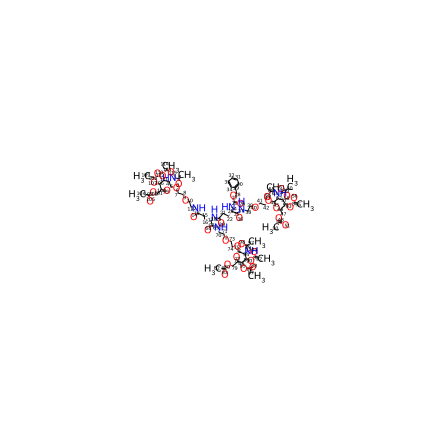 CC(=O)NC1C(OCCOCCNC(=O)CC[C@H](NC(=O)CC[C@H](NC(=O)OCc2ccccc2)C(=O)NCCOCCOC2OC(COC(C)=O)C(OC(C)=O)C(OC(C)=O)C2NC(C)=O)C(=O)NCCOCCOC2OC(COC(C)=O)C(OC(C)=O)C(OC(C)=O)C2NC(C)=O)OC(COC(C)=O)C(OC(C)=O)C1OC(C)=O